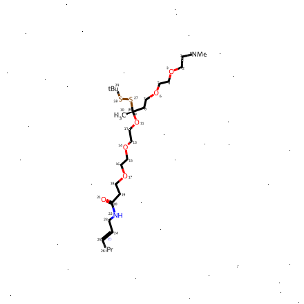 CNCCOCCOCC[C@](C)(OCCOCCOCCC(=O)NC/C=C/C(C)C)SSC(C)(C)C